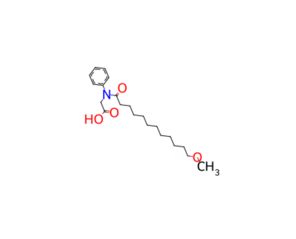 COCCCCCCCCCCCC(=O)N(CC(=O)O)c1ccccc1